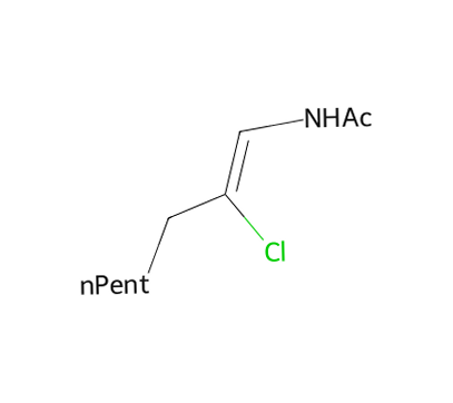 CCCCCCC(Cl)=CNC(C)=O